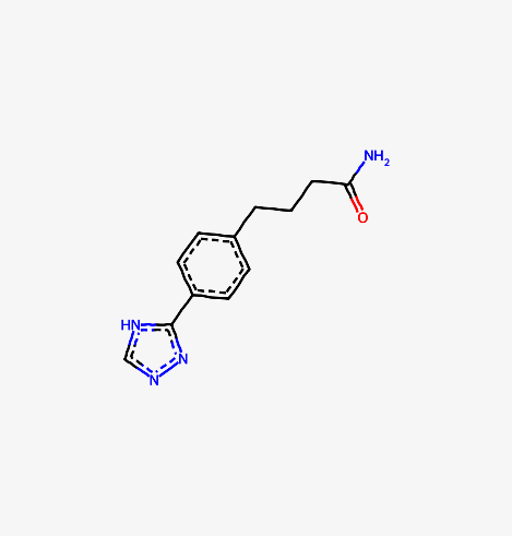 NC(=O)CCCc1ccc(-c2nnc[nH]2)cc1